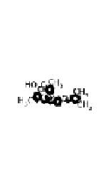 Cc1cc(C)cc(COc2ccc(CC(Cc3cc(C)cc(C)c3)S(=O)(=O)c3ccc(C)c(C(=O)O)c3)cc2)c1